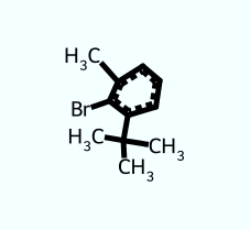 Cc1cccc(C(C)(C)C)c1Br